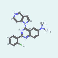 CN(C)c1ccc2nc(-c3ccccc3F)nc(-n3ccc4cnccc43)c2c1